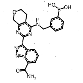 NC(=O)c1cccc2c(-c3nc4c(c(NCc5cccc(B(O)O)c5)n3)CCOC4)nnn12